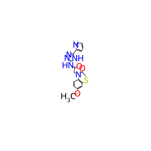 COc1ccc2c(c1)SCC(=O)N2CC(=O)Nc1nnc(-c2ccccn2)[nH]1